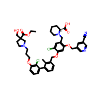 CCOC(=O)C1(CO)CCN(CCCOc2cccc(-c3cccc(COc4cc(OCc5cncc(C#N)c5)c(CN5CCCC[C@H]5C(=O)O)cc4Cl)c3C)c2Cl)C1